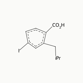 CC(C)Cc1cc(I)ccc1C(=O)O